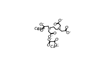 O=C([O-])C(=O)[O-].O=C([O-])CN(CCN(CC(=O)[O-])CC(=O)[O-])CC(=O)[O-].[Ca+2].[Ca+2].[Ca+2]